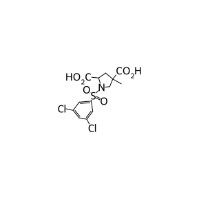 CC1(C(=O)O)CC(C(=O)O)N(S(=O)(=O)c2cc(Cl)cc(Cl)c2)C1